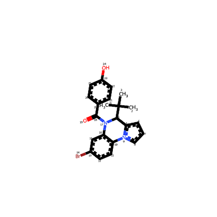 CC(C)(C)C1c2cccn2-c2ccc(Br)cc2N1C(=O)c1ccc(O)cc1